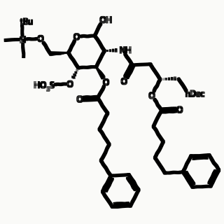 CCCCCCCCCCC[C@@H](CC(=O)N[C@H]1C(O)O[C@H](CO[Si](C)(C)C(C)(C)C)[C@@H](OS(=O)(=O)O)[C@@H]1OC(=O)CCCCc1ccccc1)OC(=O)CCCCc1ccccc1